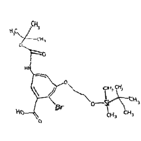 CC(C)(C)OC(=O)Nc1cc(OCCO[Si](C)(C)C(C)(C)C)c(Br)c(C(=O)O)c1